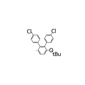 CC(C)(C)Oc1cc[c]c(-c2ccc(Cl)cc2)c1-c1ccc(Cl)cc1